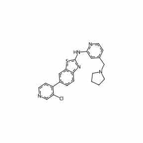 Clc1cnccc1-c1ccc2nc(Nc3cc(CN4CCCC4)ccn3)sc2c1